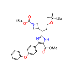 COC(=O)c1[nH]c(C(CCO[Si](C)(C)C(C)(C)C)C2CN(C(=O)OC(C)(C)C)C2)nc1-c1ccc(Oc2ccccc2)cc1